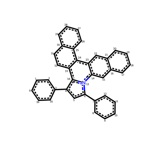 c1ccc(-c2cc(-c3ccccc3)n3c4cc5ccccc5cc4c4c5ccccc5ccc4c23)cc1